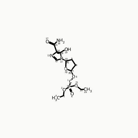 CCOP(=O)(CO[C@@H]1CC[C@H](n2cnc(C(N)=O)c2O)O1)OCC